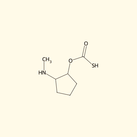 CNC1CCCC1OC(=O)S